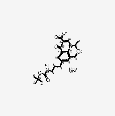 CC1OCc2cc(CCCNC(=O)OC(C)(C)C)cc3c(=O)c(C(=O)[O-])cn1c23.[Na+]